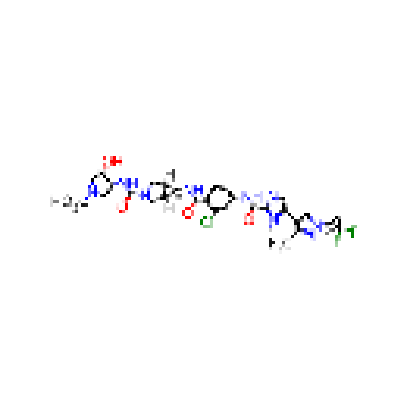 Cn1c(-c2cn([C@H]3CC3(F)F)nc2C(F)(F)F)cnc1C(=O)Nc1ccc(C(=O)N[C@@H]2[C@@H]3CN(C(=O)N[C@H]4CN(C(=O)O)C[C@@H]4O)C[C@@H]32)c(Cl)c1